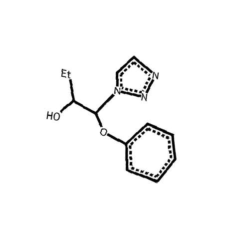 CCC(O)C(Oc1ccccc1)n1ccnn1